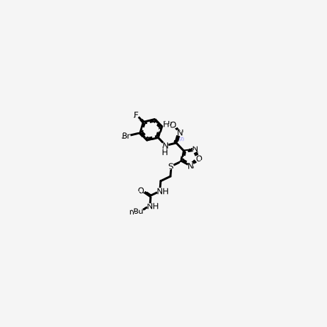 CCCCNC(=O)NCCSc1nonc1/C(=N/O)Nc1ccc(F)c(Br)c1